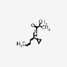 C/C=C\C=C(\CNC(=O)C(C)C)C1CC1